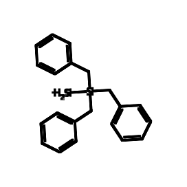 [SiH2][Si](Cc1ccccc1)(Cc1ccccc1)Cc1ccccc1